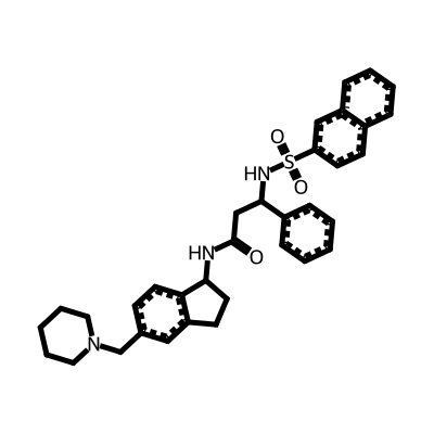 O=C(CC(NS(=O)(=O)c1ccc2ccccc2c1)c1ccccc1)NC1CCc2cc(CN3CCCCC3)ccc21